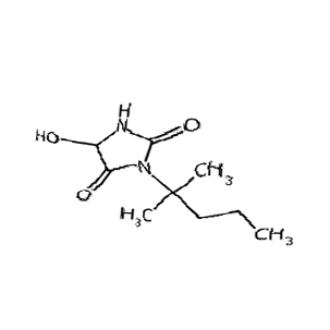 CCCC(C)(C)N1C(=O)NC(O)C1=O